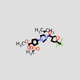 COC(=O)c1ccc(N2CCN(C(=O)C3CCC(C(F)(F)F)OC3)[C@@H](C(C)C)C2)cc1S(C)(=O)=O